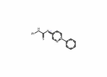 CC(C)NC(=S)/N=c1/ccn(-c2ccccc2)nc1